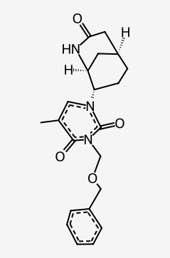 Cc1cn([C@H]2CC[C@@H]3CC(=O)N[C@H]2C3)c(=O)n(COCc2ccccc2)c1=O